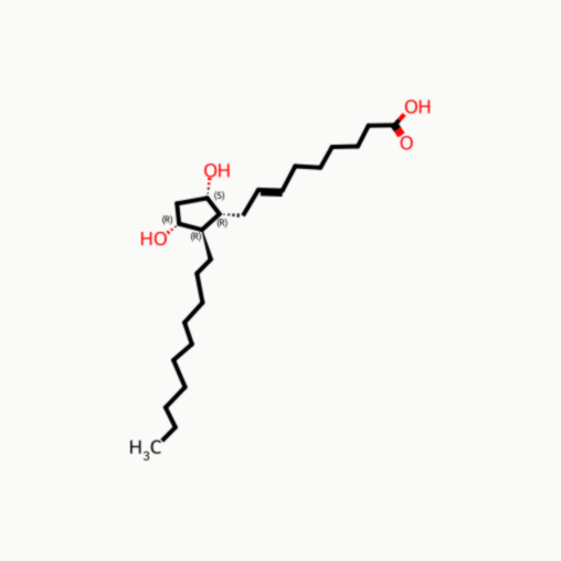 CCCCCCCCCC[C@@H]1[C@@H](CC=CCCCCCC(=O)O)[C@@H](O)C[C@H]1O